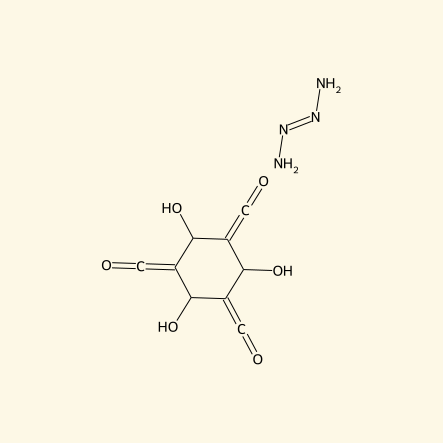 NN=NN.O=C=C1C(O)C(=C=O)C(O)C(=C=O)C1O